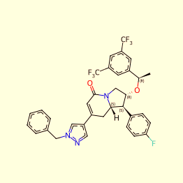 C[C@@H](O[C@H]1CN2C(=O)C=C(c3cnn(Cc4ccccc4)c3)C[C@H]2[C@@H]1c1ccc(F)cc1)c1cc(C(F)(F)F)cc(C(F)(F)F)c1